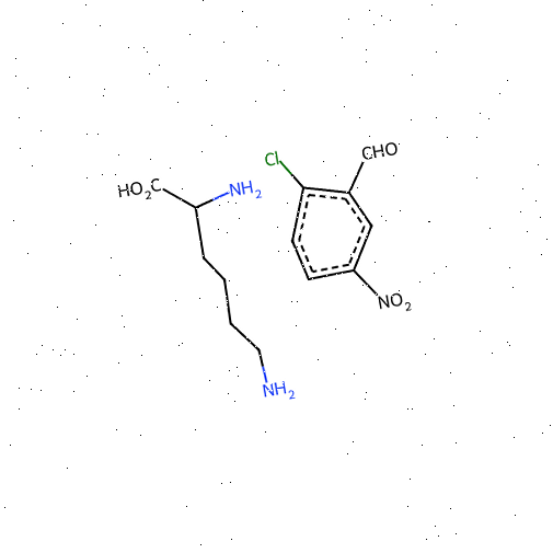 NCCCCC(N)C(=O)O.O=Cc1cc([N+](=O)[O-])ccc1Cl